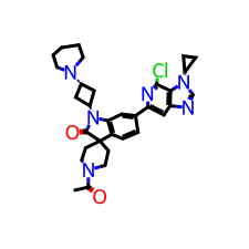 CC(=O)N1CCC2(CC1)C(=O)N([C@H]1C[C@@H](N3CCCCC3)C1)c1cc(-c3cc4ncn(C5CC5)c4c(Cl)n3)ccc12